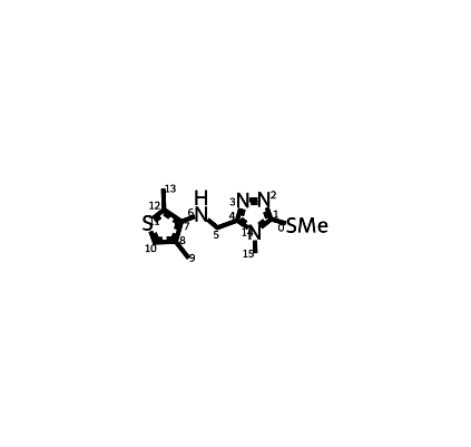 CSc1nnc(CNc2c(C)csc2C)n1C